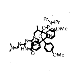 COc1ccc(C(OC(CC#N)(O[P@](O)N(C(C)C)C(C)C)C(C)Cn2cnc3c(=O)[nH]c(/N=C/N(C)C)nc32)(c2ccccc2)c2ccc(OC)cc2)cc1